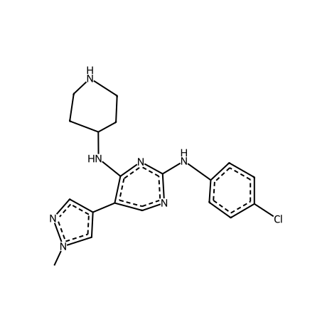 Cn1cc(-c2cnc(Nc3ccc(Cl)cc3)nc2NC2CCNCC2)cn1